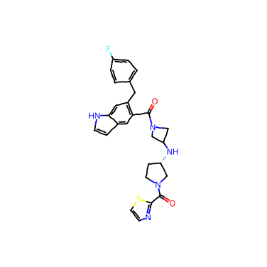 O=C(c1nccs1)N1CC[C@H](NC2CN(C(=O)c3cc4cc[nH]c4cc3Cc3ccc(F)cc3)C2)C1